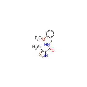 O=C(NCc1ccccc1OC(F)(F)F)c1ncsc1[AsH2]